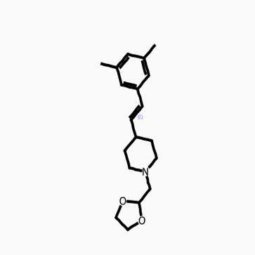 Cc1cc(C)cc(/C=C/C2CCN(CC3OCCO3)CC2)c1